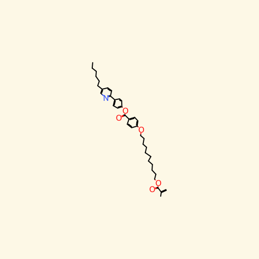 C=C(C)C(=O)OCCCCCCCCCCCOc1ccc(C(=O)Oc2ccc(-c3ccc(CCCCCC)cn3)cc2)cc1